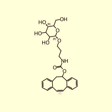 O=C(NCCCO[C@@H]1OC(CO)[C@H](O)C(O)C1O)OC1Cc2ccccc2/C=C\c2ccccc21